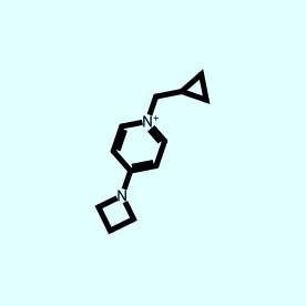 c1c[n+](CC2CC2)ccc1N1CCC1